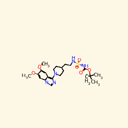 COc1cc2ncnc(N3CCC(CCNS(=O)(=O)NC(=O)OC(C)(C)C)CC3)c2cc1OC